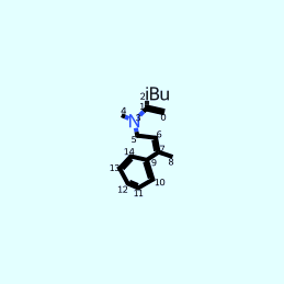 C=C(C(C)CC)N(C)C/C=C(/C)c1ccccc1